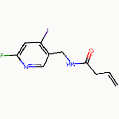 C=CCC(=O)NCc1cnc(F)cc1I